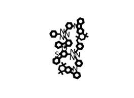 CC1(C)CCC(C)(C)c2cc3c(cc21)c1ccccc1n3-c1cccc(-c2nc(-c3cccc(CC4(C)CCC(C)(C)c5cc6c7ccccc7n(-c7cccc(-c8nc(-c9ccccc9)nc(-c9cccc%10oc%11ccccc%11c9%10)n8)c7)c6cc54)c3)nc(-c3ccc4sc5ccccc5c4c3)n2)c1